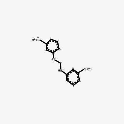 CCCCCc1cccc(NCNc2cccc(CCCCC)c2)c1